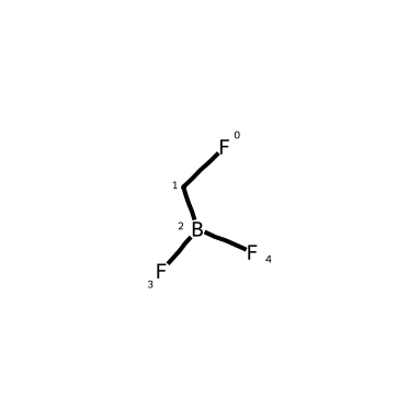 FCB(F)F